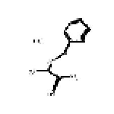 Cl.N=C(N)C(NCc1ccccc1)C(=O)O